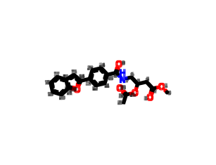 COC(=O)CC(CNC(=O)c1ccc(-c2cc3ccccc3o2)cc1)OC(C)=O